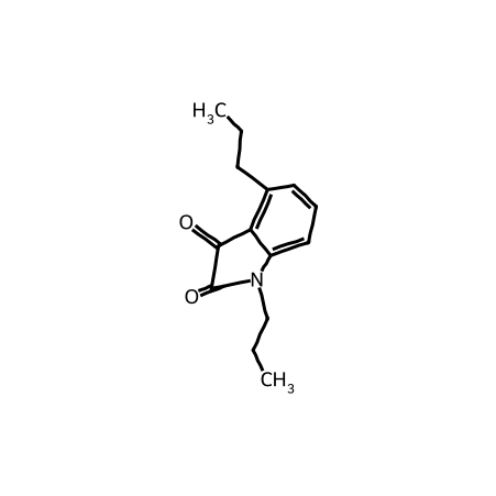 CCCc1cccc2c1C(=O)C(=O)N2CCC